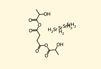 CC(O)C(=O)OC(=O)CCC(=O)OC(=O)C(C)O.[SrH2].[SrH2].[SrH2].[SrH2]